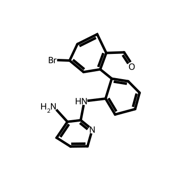 Nc1cccnc1Nc1ccccc1-c1cc(Br)ccc1C=O